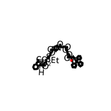 CCOC(=O)NCC1CCCCCC1CNC(=O)OCCSSCCOC(=O)N1CCN(C(=O)CCC(=O)OCCOC(=O)N2CCN(C(c3ccccc3)(c3ccccc3)c3ccccc3)CC2)CC1